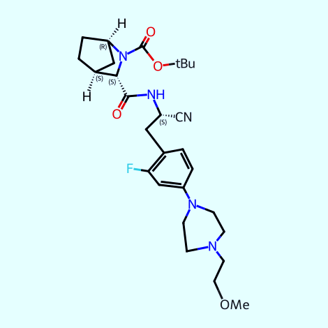 COCCN1CCN(c2ccc(C[C@@H](C#N)NC(=O)[C@@H]3[C@H]4CC[C@H](C4)N3C(=O)OC(C)(C)C)c(F)c2)CC1